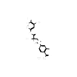 CNC(=O)c1ccc(S(=O)(=O)C[C@](C)(O)C(=O)Nc2cc(C)c(C)nn2)cc1F